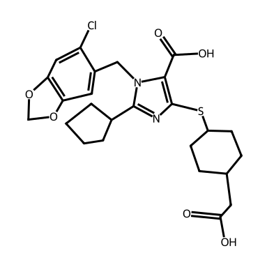 O=C(O)CC1CCC(Sc2nc(C3CCCC3)n(Cc3cc4c(cc3Cl)OCO4)c2C(=O)O)CC1